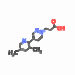 Cc1cnc(-c2cc[n+](CCC(=O)O)nc2)c(C)c1